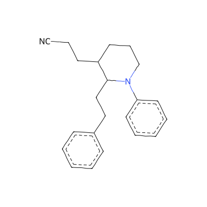 N#CCCC1CCCN(c2ccccc2)C1CCc1ccccc1